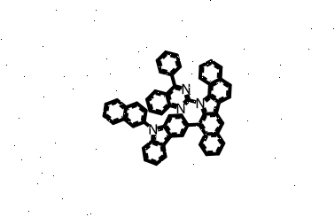 c1ccc(-c2nc(-n3c4c(-c5ccc6c(c5)c5ccccc5n6-c5ccc6ccccc6c5)c5ccccc5cc4c4ccc5ccccc5c43)nc3ccccc23)cc1